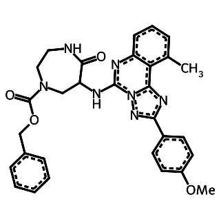 COc1ccc(-c2nc3c4c(C)cccc4nc(NC4CN(C(=O)OCc5ccccc5)CCNC4=O)n3n2)cc1